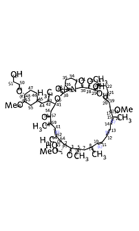 COC[C@H]1C(=O)[C@H](C)C[C@H](C)/C=C/C=C/C=C(\C)[C@@H](OC)C[C@@H]2CC[C@@H](C)[C@@](O)(O2)C(=O)C(=O)N2CCCC[C@H]2C(=O)OC([C@H](C)C[C@@H]2CC[C@@H](OCCO)[C@H](OC)C2)CC(=O)[C@H](C)/C=C(\C)[C@H]1O